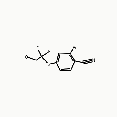 N#Cc1ccc(SC(F)(F)CO)cc1Br